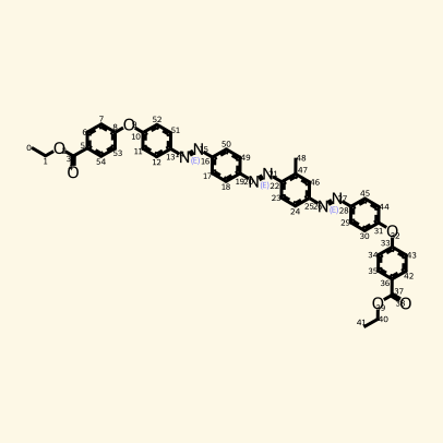 CCOC(=O)c1ccc(Oc2ccc(/N=N/c3ccc(/N=N/c4ccc(/N=N/c5ccc(Oc6ccc(C(=O)OCC)cc6)cc5)cc4C)cc3)cc2)cc1